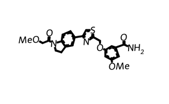 COCC(=O)N1CCc2cc(-c3csc(COc4cc(OC)cc(C(N)=O)c4)n3)ccc21